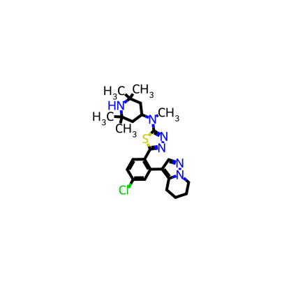 CN(c1nnc(-c2ccc(Cl)cc2-c2cnn3c2CCCC3)s1)C1CC(C)(C)NC(C)(C)C1